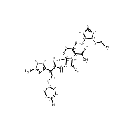 Nc1nc(C(=NOc2ccc(Cl)cc2)C(=O)NC2C(=O)N3C(C(=O)O)=C(CSc4nnnn4CCO)CS[C@@H]23)ns1